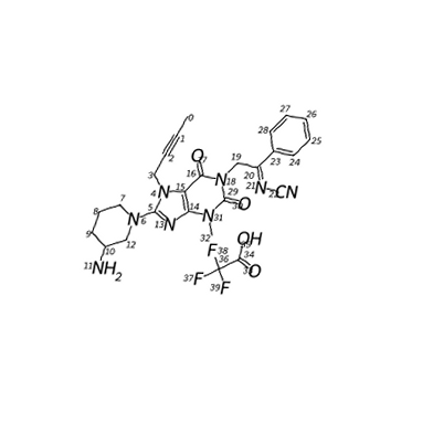 CC#CCn1c(N2CCCC(N)C2)nc2c1c(=O)n(CC(=NC#N)c1ccccc1)c(=O)n2C.O=C(O)C(F)(F)F